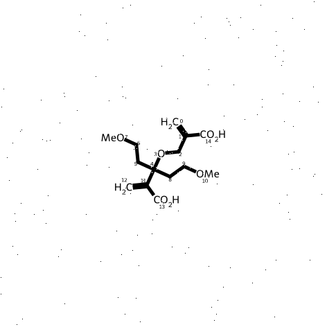 C=C(COC(CCOC)(CCOC)C(=C)C(=O)O)C(=O)O